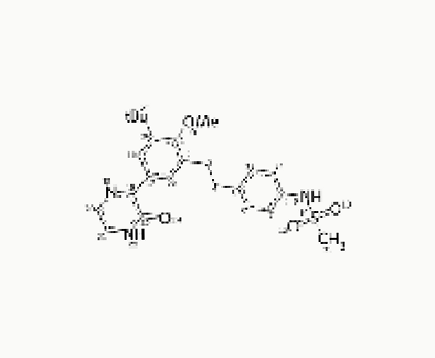 COc1c(CCc2ccc(NS(C)(=O)=O)cc2)cc(-c2ncc[nH]c2=O)cc1C(C)(C)C